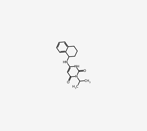 CC(C)n1c(=O)cc(NC2CCCc3ccccc32)[nH]c1=O